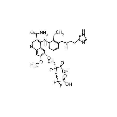 CCc1c(CNCCc2c[nH]cn2)cccc1Nc1c(C(N)=O)cnc2cc(OC)c(OC)cc12.O=C(O)C(F)(F)F.O=C(O)C(F)(F)F